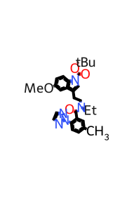 CCN(CCc1cn(C(=O)OC(C)(C)C)c2ccc(OC)cc12)C(=O)c1cc(C)ccc1-n1nccn1